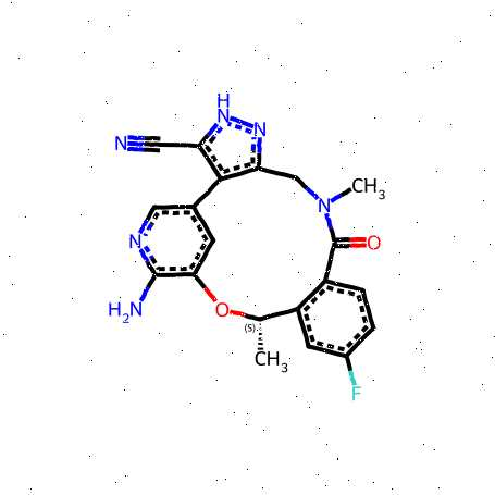 C[C@@H]1Oc2cc(cnc2N)-c2c(n[nH]c2C#N)CN(C)C(=O)c2ccc(F)cc21